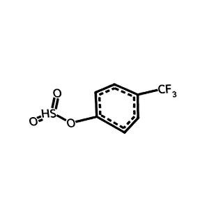 O=[SH](=O)Oc1ccc(C(F)(F)F)cc1